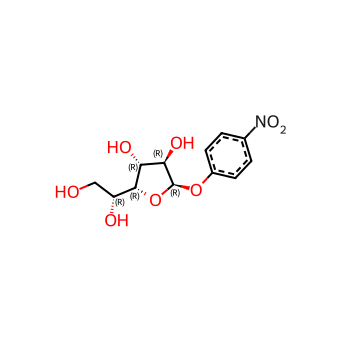 O=[N+]([O-])c1ccc(O[C@H]2O[C@H]([C@H](O)CO)[C@H](O)[C@H]2O)cc1